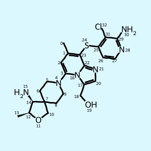 Cc1cc(N2CCC3(CC2)CO[C@@H](C)[C@H]3N)n2c(CO)cnc2c1Sc1ccnc(N)c1Cl